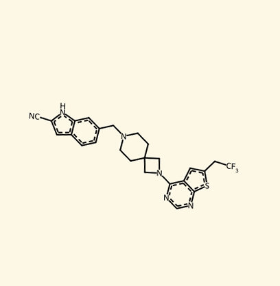 N#Cc1cc2ccc(CN3CCC4(CC3)CN(c3ncnc5sc(CC(F)(F)F)cc35)C4)cc2[nH]1